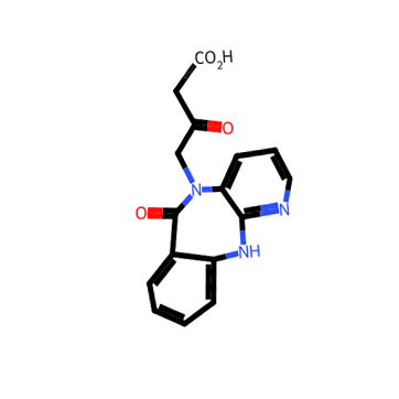 O=C(O)CC(=O)CN1C(=O)c2ccccc2Nc2ncccc21